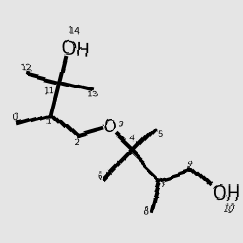 CC(COC(C)(C)C(C)CO)C(C)(C)O